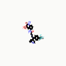 Cc1cc(/C(=C/C=C/C(=O)Nc2cccc3c2CC(O)C(=O)N3)c2ccc(C(F)(F)F)cc2)ccn1